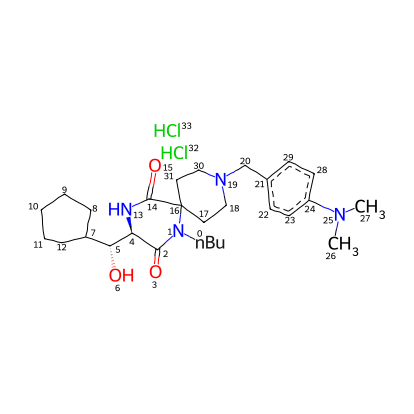 CCCCN1C(=O)[C@@H]([C@H](O)C2CCCCC2)NC(=O)C12CCN(Cc1ccc(N(C)C)cc1)CC2.Cl.Cl